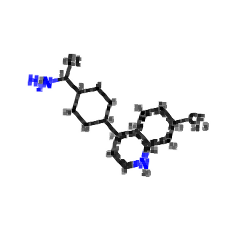 CCC(N)C1CCC(c2ccnc3cc(C(F)(F)F)ccc23)CC1